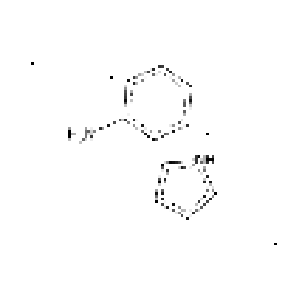 Nc1ccccc1.c1cc[nH]c1